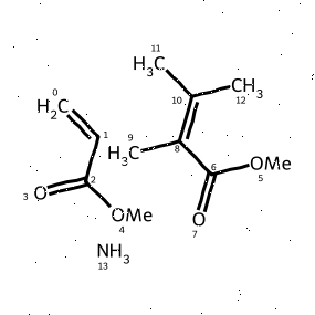 C=CC(=O)OC.COC(=O)C(C)=C(C)C.N